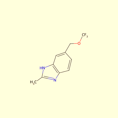 Cc1nc2ccc(COC(F)(F)F)cc2[nH]1